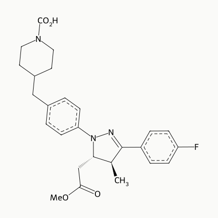 COC(=O)C[C@H]1[C@H](C)C(c2ccc(F)cc2)=NN1c1ccc(CC2CCN(C(=O)O)CC2)cc1